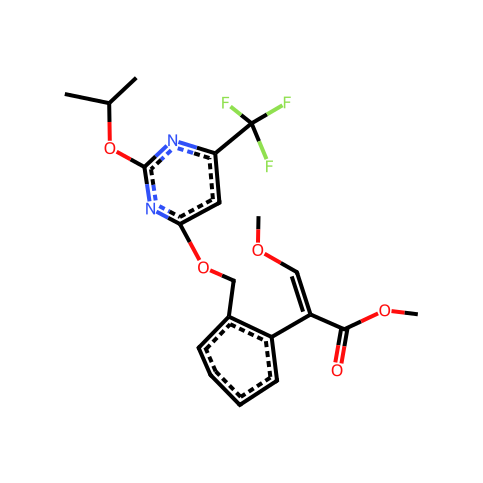 CO/C=C(/C(=O)OC)c1ccccc1COc1cc(C(F)(F)F)nc(OC(C)C)n1